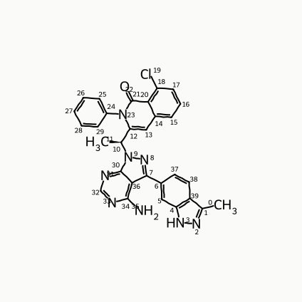 Cc1n[nH]c2cc(-c3nn([C@@H](C)c4cc5cccc(Cl)c5c(=O)n4-c4ccccc4)c4ncnc(N)c34)ccc12